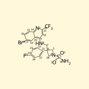 NS(=O)(=O)N1CC(CNc2cc(C(F)(F)F)nc3ccc(Br)cc23)(c2ccc(F)cc2)C1